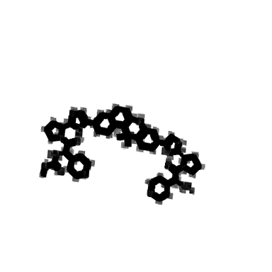 COC(=O)N[C@H](C(=O)N1CCC[C@H]1c1ncc(-c2ccc3c4c(ccc3c2)Oc2cc(-c3cnc([C@@H]5CCCN5C(=O)[C@@H](N)C5CCOCC5)[nH]3)ccc2C4(C)C)[nH]1)C1CCOCC1